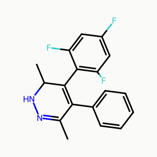 CC1=NNC(C)C(c2c(F)cc(F)cc2F)=C1c1ccccc1